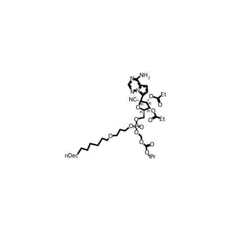 CCCCCCCCCCCCCCCCOCCCO[P@@](=O)(OCOC(=O)OC(C)C)OC[C@H]1O[C@@](C#N)(c2ccc3c(N)ncnn23)[C@H](OC(=O)CC)[C@@H]1OC(=O)CC